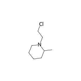 CC1CCCCN1CCCl